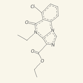 CCOC(=O)c1ncn2c3cccc(Cl)c3c(=O)n(CC)c12